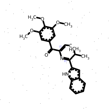 C/C=C(\N=C(\c1cc2ccccc2[nH]1)C(C)C)C(=O)c1cc(OC)c(OC)c(OC)c1